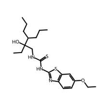 CCCC(CCC)C(O)(CC)CNC(=S)Nc1nc2ccc(OCC)cc2s1